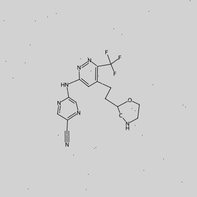 N#Cc1cnc(Nc2cc(CCC3CNCCO3)c(C(F)(F)F)nn2)cn1